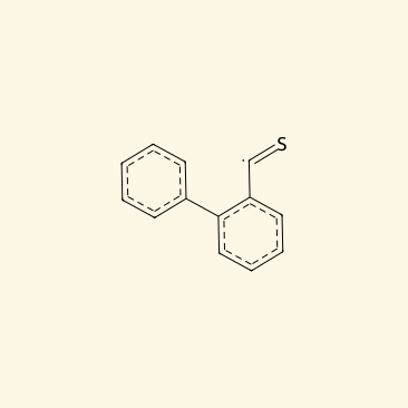 S=[C]c1ccccc1-c1ccccc1